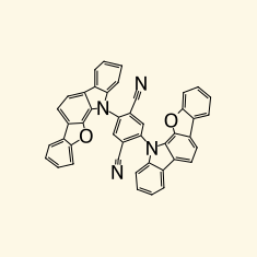 N#Cc1cc(-n2c3ccccc3c3ccc4c5ccccc5oc4c32)c(C#N)cc1-n1c2ccccc2c2ccc3c4ccccc4oc3c21